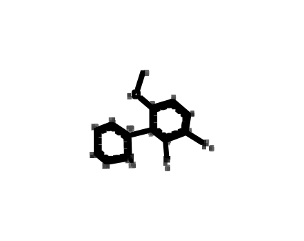 COc1ccc(F)c(F)c1-c1ccccn1